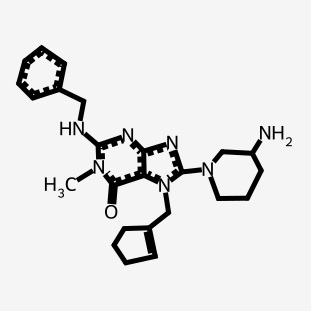 Cn1c(NCc2ccccc2)nc2nc(N3CCCC(N)C3)n(CC3=CCCC3)c2c1=O